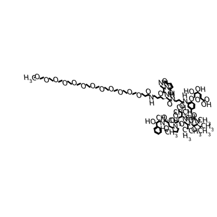 CC[C@H](C)[C@@H]([C@@H](CC(=O)N1CCC[C@H]1[C@H](OC)[C@@H](C)C(=O)N[C@H](C)[C@@H](O)c1ccccc1)OC)N(C)C(=O)[C@@H](NC(=O)[C@H](C(C)C)N(C)C(=O)OCc1ccc(O[C@@H]2OC(C(=O)O)=C[C@H](O)[C@H]2O)c(NC(=O)CCNC(=O)[C@H](CCCCNC(=O)CCOCCOCCOCCOCCOCCOCCOCCOCCOCCOCCOCCOC)NC(=O)C(CN)N2C(=O)C=CC2=O)c1)C(C)C